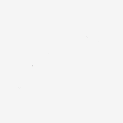 COc1cc(NC2CCN(C(=O)Cc3ccc(CN4CCN[C@@H](C)C4)cc3)CC2)ccc1F